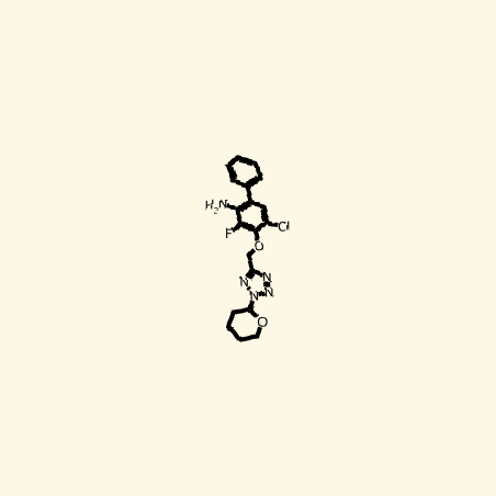 Nc1c(-c2ccccc2)cc(Cl)c(OCc2nnn(C3CCCCO3)n2)c1F